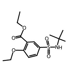 CCOC(=O)c1cc(S(=O)(=O)NC(C)(C)C)ccc1OCC